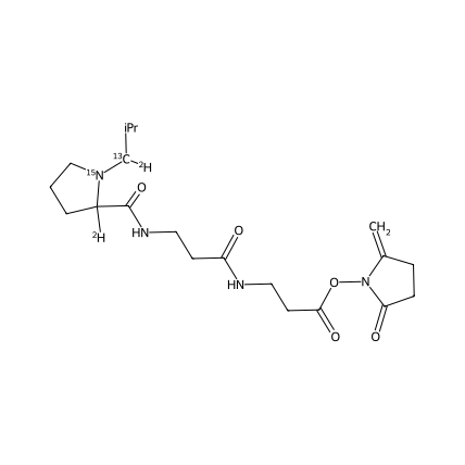 [2H][13CH]([13CH]([13CH3])[13CH3])[15N]1CCCC1([2H])C(=O)NCCC(=O)NCCC(=O)ON1C(=C)CCC1=O